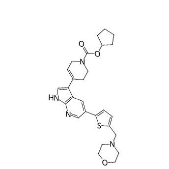 O=C(OC1CCCC1)N1CC=C(c2c[nH]c3ncc(-c4ccc(CN5CCOCC5)s4)cc23)CC1